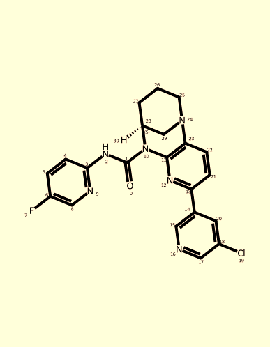 O=C(Nc1ccc(F)cn1)N1c2nc(-c3cncc(Cl)c3)ccc2N2CCC[C@H]1C2